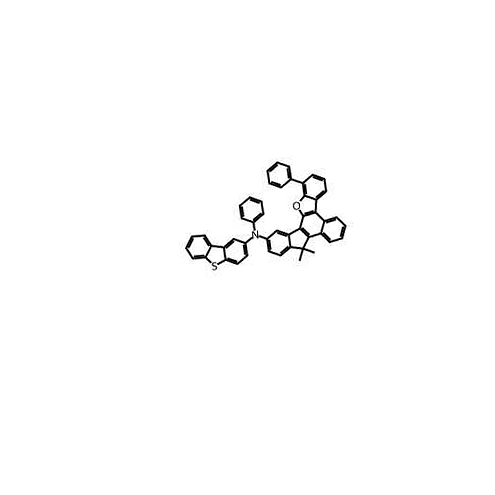 CC1(C)c2ccc(N(c3ccccc3)c3ccc4sc5ccccc5c4c3)cc2-c2c1c1ccccc1c1c2oc2c(-c3ccccc3)cccc21